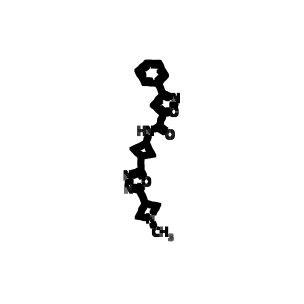 CN1CC(c2nnc(C3CC(NC(=O)c4cc(-c5ccccc5)no4)C3)o2)C1